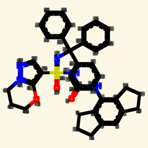 O=C(Nc1c2c(cc3c1CCC3)CCC2)NS(=O)(=NC(c1ccccc1)(c1ccccc1)c1ccccc1)c1cnn2c1OCCC2